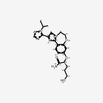 CC(C)n1ncnc1-c1cn2c(n1)-c1ccc(O[C@@H](CCCO)C(N)=O)cc1OCC2